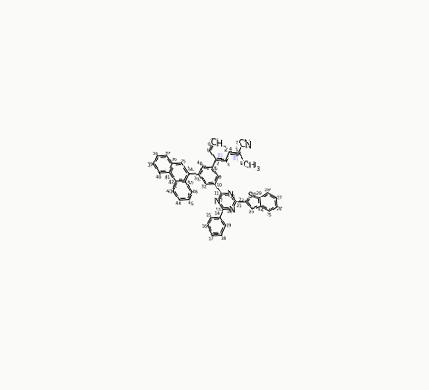 C=C/C(=C\C=C(/C)C#N)c1cc(-c2nc(-c3ccccc3)nc(-c3cc4ccccc4s3)n2)cc(-c2cc3ccccc3c3ccccc23)c1